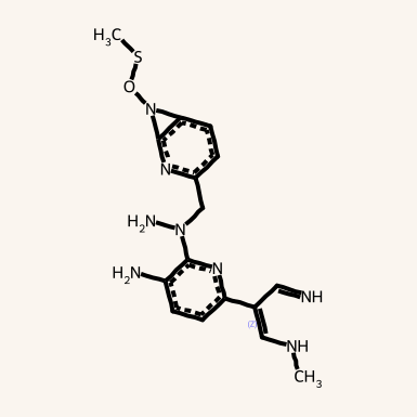 CN/C=C(\C=N)c1ccc(N)c(N(N)Cc2ccc3c(n2)N3OSC)n1